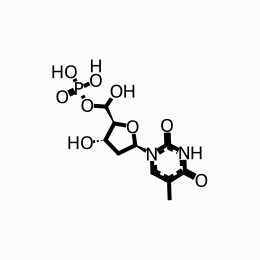 Cc1cn([C@H]2C[C@H](O)[C@@H](C(O)OP(=O)(O)O)O2)c(=O)[nH]c1=O